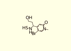 Cn1cc(Br)c(C(CCO)NS)cc1=O